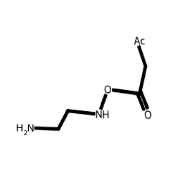 CC(=O)CC(=O)ONCCN